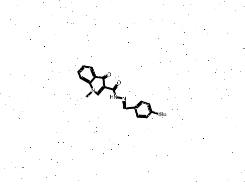 Cn1cc(C(=O)NN=Cc2ccc(C(C)(C)C)cc2)c(=O)c2ccccc21